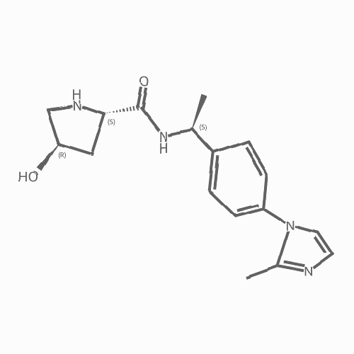 Cc1nccn1-c1ccc([C@H](C)NC(=O)[C@@H]2C[C@@H](O)CN2)cc1